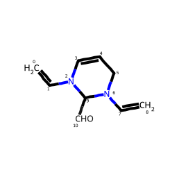 C=CN1C=CCN(C=C)C1C=O